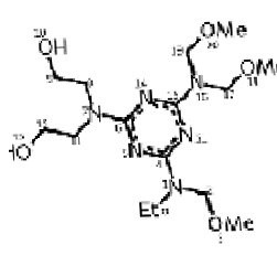 CCN(COC)c1nc(N(CCO)CCO)nc(N(COC)COC)n1